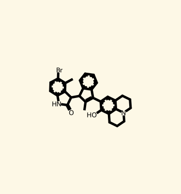 CC1=C(c2cc3c4c(c2O)CCCN4CCC3)c2ccccc2C1C1C(=O)Nc2ccc(Br)c(C)c21